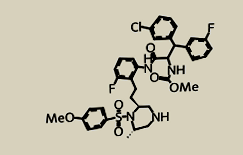 COC(=O)NC(C(=O)Nc1cccc(F)c1CC[C@H]1CNC[C@H](C)N1S(=O)(=O)c1ccc(OC)cc1)C(c1cccc(F)c1)c1cccc(Cl)c1